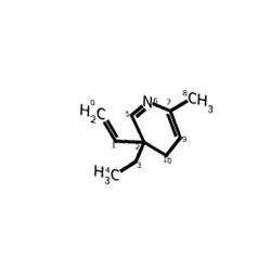 C=CC1(CC)C=NC(C)=CC1